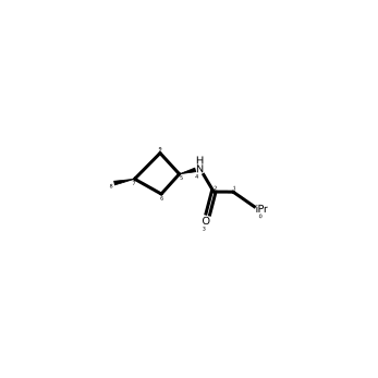 CC(C)CC(=O)N[C@H]1C[C@@H](C)C1